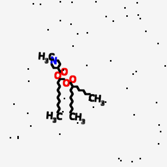 CCCCCCCCCCC(COC(=O)C(CCCCCC)CCCCCCCC)OC(=O)C1CCN(C)CC1